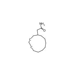 NC(=O)CC1CCCCCCCCCCC1